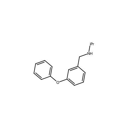 CC(C)NCc1cccc(Oc2ccccc2)c1